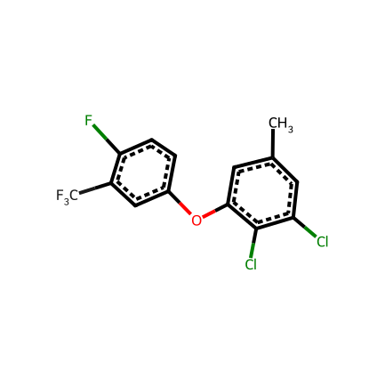 Cc1cc(Cl)c(Cl)c(Oc2ccc(F)c(C(F)(F)F)c2)c1